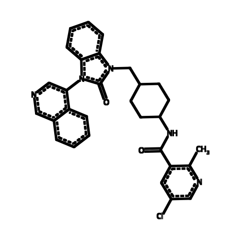 Cc1ncc(Cl)cc1C(=O)NC1CCC(Cn2c(=O)n(-c3cncc4ccccc34)c3ccccc32)CC1